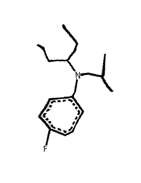 CCC(CC)N(c1ccc(F)cc1)C(C)C